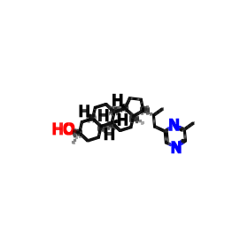 Cc1cncc(CC(C)[C@H]2CC[C@H]3[C@@H]4CC[C@@H]5C[C@](C)(O)CC[C@@H]5[C@H]4CC[C@]23C)n1